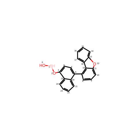 OBOc1ccc(-c2cccc3oc4ccccc4c23)c2ccccc12